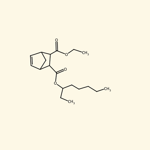 CCCCCC(CC)OC(=O)C1C2C=CC(C2)C1C(=O)OCC